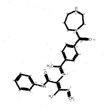 C=N/C(C)=C(\N=C(/C)c1ccc(C(=O)N2CCCNCC2)cc1)C(=O)Nc1ccccc1